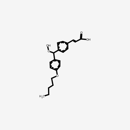 CCCCCOc1ccc(C(OO)c2ccc(C=CC(=O)O)cc2)cc1